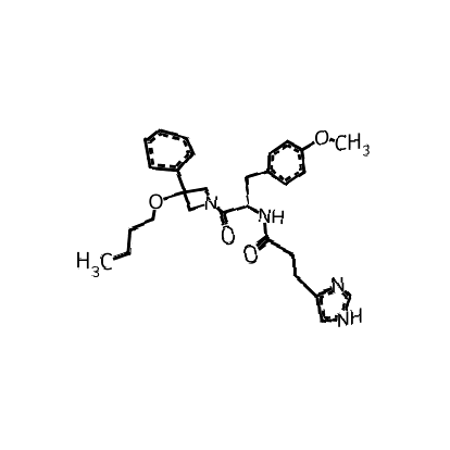 CCCCOC1(c2ccccc2)CN(C(=O)[C@@H](Cc2ccc(OC)cc2)NC(=O)CCc2c[nH]cn2)C1